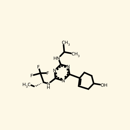 CC[C@@H](Nc1nc(NC(C)C)nc(C2=CCC(O)CC2)n1)C(F)(F)F